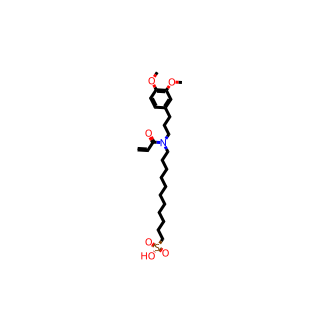 C=CC(=O)N(CCCCCCCCCCCS(=O)(=O)O)CCCc1ccc(OC)c(OC)c1